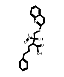 O=[PH2]C(O)(CSc1ccc2ccccc2n1)C(CCCc1ccccc1)C(=O)O